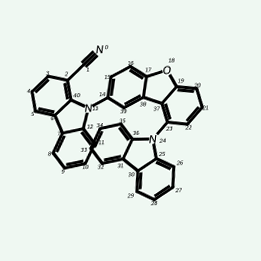 N#Cc1cccc2c3ccccc3n(-c3ccc4oc5cccc(-n6c7ccccc7c7ccccc76)c5c4c3)c12